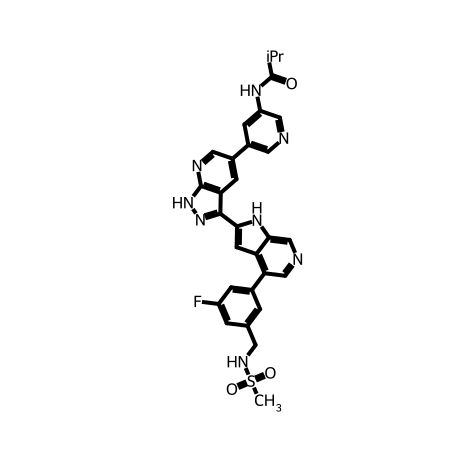 CC(C)C(=O)Nc1cncc(-c2cnc3[nH]nc(-c4cc5c(-c6cc(F)cc(CNS(C)(=O)=O)c6)cncc5[nH]4)c3c2)c1